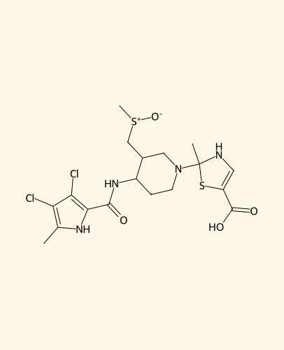 Cc1[nH]c(C(=O)NC2CCN(C3(C)NC=C(C(=O)O)S3)CC2C[S+](C)[O-])c(Cl)c1Cl